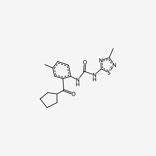 Cc1ccc(NC(=O)Nc2nc(C)ns2)c(C(=O)C2CCCC2)c1